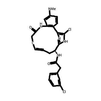 CNc1ccc2c(c1)NC(=O)CC/C=C/C[C@H](NC(=O)Cc1cccc(Cl)c1)c1nc-2c(Cl)[nH]1